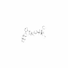 c1ccc(-c2nc(-c3ccccc3)nc(-c3ccc4c(c3)sc3ccc(-c5ccccc5-c5ccc6c(c5)oc5ccccc56)cc34)n2)cc1